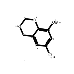 COc1cc(C)cc2c1OCOC2